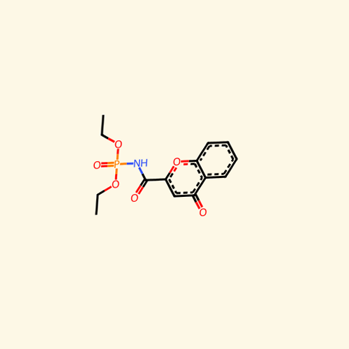 CCOP(=O)(NC(=O)c1cc(=O)c2ccccc2o1)OCC